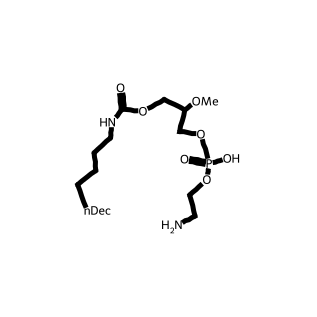 CCCCCCCCCCCCCCNC(=O)OCC(COP(=O)(O)OCCN)OC